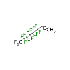 C=C=CC(F)(F)C(F)(F)C(F)(F)C(F)(F)C(F)(F)C(F)(F)C(F)(F)F